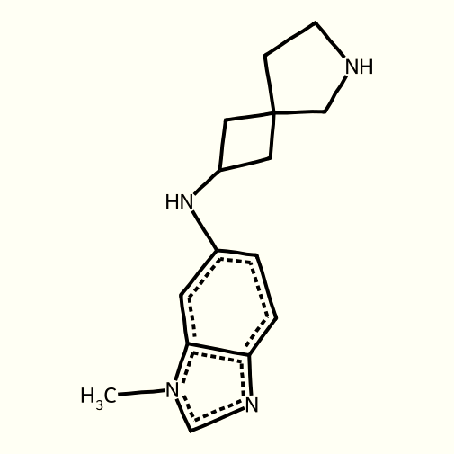 Cn1cnc2ccc(NC3CC4(CCNC4)C3)cc21